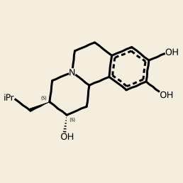 CC(C)C[C@H]1CN2CCc3cc(O)c(O)cc3C2C[C@@H]1O